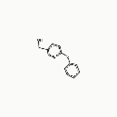 OCc1ccc(Sc2ccccc2)nc1